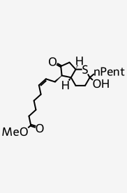 CCCCCC1(O)CC[C@H]2[C@@H](CC(=O)[C@@H]2C/C=C\CCCCC(=O)OC)S1